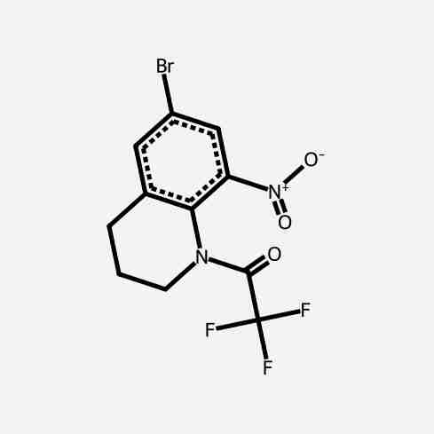 O=C(N1CCCc2cc(Br)cc([N+](=O)[O-])c21)C(F)(F)F